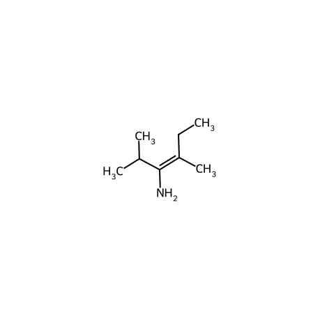 CC/C(C)=C(/N)C(C)C